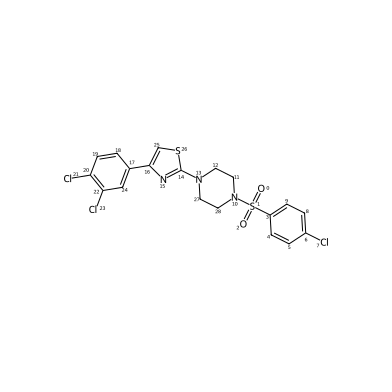 O=S(=O)(c1ccc(Cl)cc1)N1CCN(c2nc(-c3ccc(Cl)c(Cl)c3)cs2)CC1